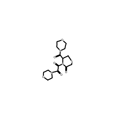 O=C(C(=O)N1C(=O)CSCC1C(=O)N1CCOCC1)N1CCOCC1